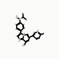 Cc1ccc(-c2cc(Cl)c3ncc(-c4ccc([S+]([O-])C(C)C)cc4)n3c2)cn1